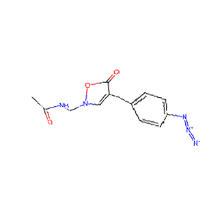 CC(=O)NCn1cc(-c2ccc(N=[N+]=[N-])cc2)c(=O)o1